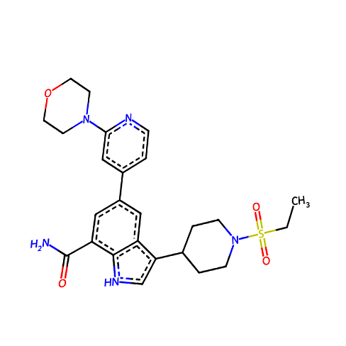 CCS(=O)(=O)N1CCC(c2c[nH]c3c(C(N)=O)cc(-c4ccnc(N5CCOCC5)c4)cc23)CC1